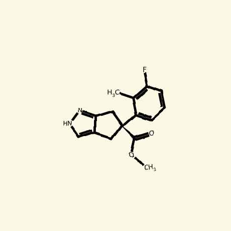 COC(=O)[C@@]1(c2cccc(F)c2C)Cc2c[nH]nc2C1